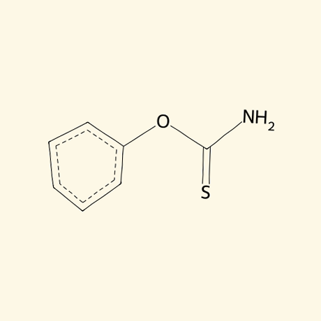 NC(=S)Oc1ccccc1